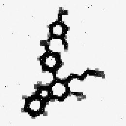 C=CCCN1[C@H](c2ccc(N[C@@H]3CN(CCCC)C[C@H]3F)cc2)c2[nH]c3ccccc3c2C[C@H]1C